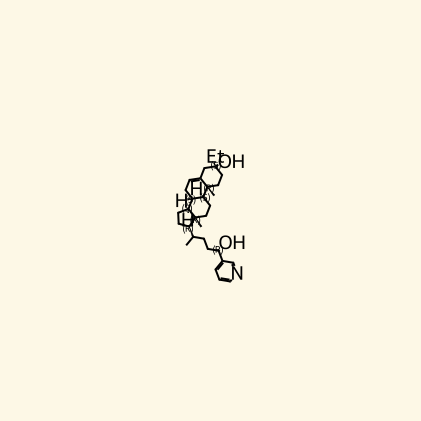 CC[C@]1(O)CC[C@@]2(C)C(=CC[C@H]3[C@@H]4CC[C@H](C(C)CC[C@@H](O)c5cccnc5)[C@@]4(C)CC[C@@H]32)C1